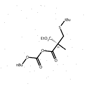 CCCCOC(=O)OC(=O)[C@](C)(CSC(C)(C)C)C(=O)OCC